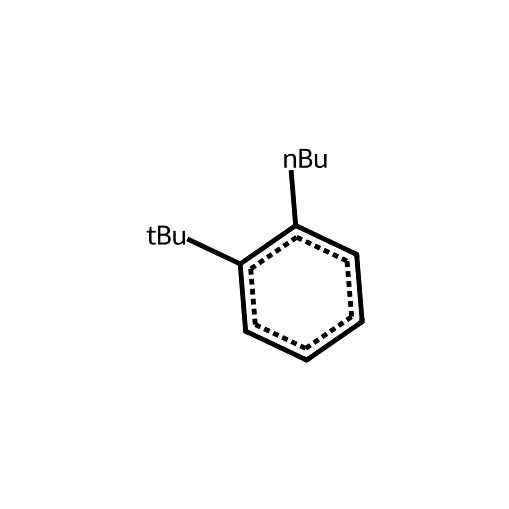 CCCCc1ccccc1C(C)(C)C